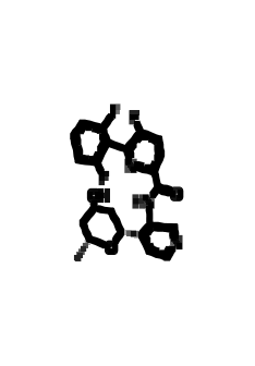 C[C@@H]1C[C@@H](O)C[C@H](c2ccncc2NC(=O)c2ccc(F)c(-c3c(F)cccc3F)n2)O1